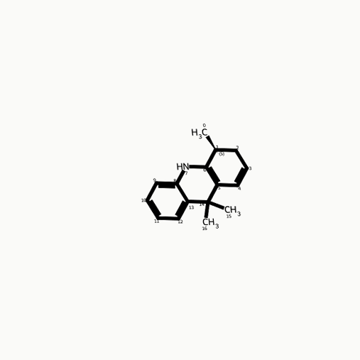 C[C@H]1CC=CC2=C1Nc1ccccc1C2(C)C